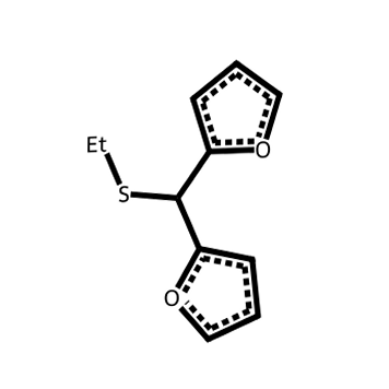 [CH2]CSC(c1ccco1)c1ccco1